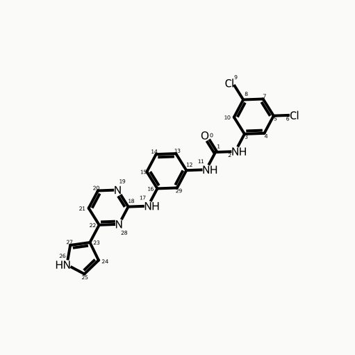 O=C(Nc1cc(Cl)cc(Cl)c1)Nc1cccc(Nc2nccc(-c3cc[nH]c3)n2)c1